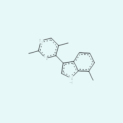 Cc1ncc(C)c(-c2c[nH]c3c(C)cccc23)n1